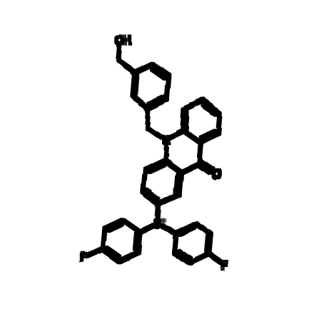 O=c1c2ccccc2n(Cc2cccc(CO)c2)c2ccc([S+](c3ccc(F)cc3)c3ccc(F)cc3)cc12